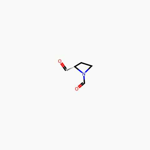 O=C[C@@H]1CCN1C=O